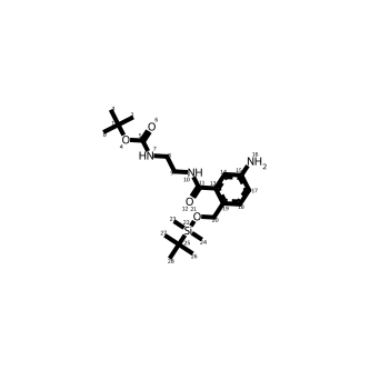 CC(C)(C)OC(=O)NCCNC(=O)c1cc(N)ccc1CO[Si](C)(C)C(C)(C)C